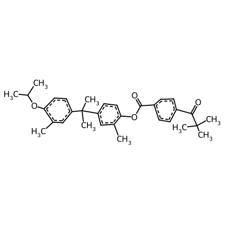 Cc1cc(C(C)(C)c2ccc(OC(C)C)c(C)c2)ccc1OC(=O)c1ccc(C(=O)C(C)(C)C)cc1